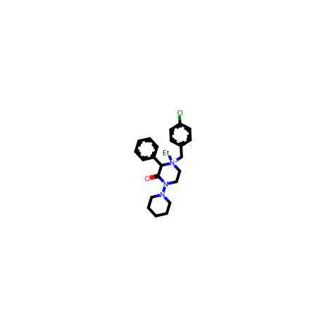 CC[N+]1(Cc2ccc(Cl)cc2)CCN(N2CCCCC2)C(=O)C1c1ccccc1